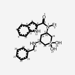 CCN(C(=O)c1cc2ccccc2[nH]1)[C@@H]1C[C@H](NCc2ccccc2)CS(O)(O)C1